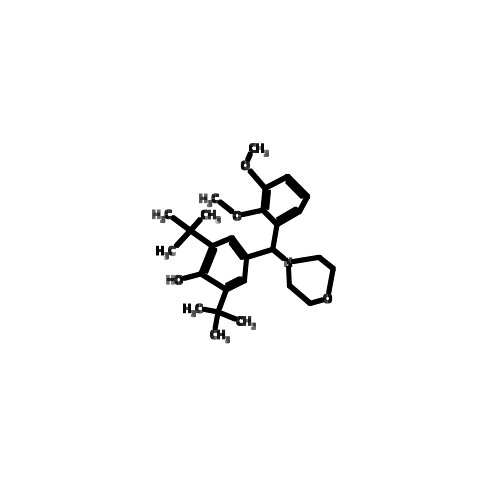 COc1cccc(C(c2cc(C(C)(C)C)c(O)c(C(C)(C)C)c2)N2CCOCC2)c1OC